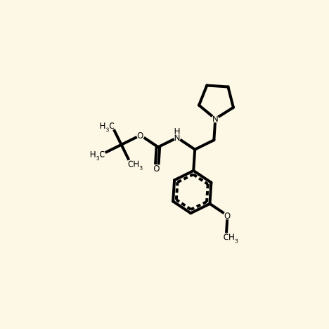 COc1cccc(C(CN2CCCC2)NC(=O)OC(C)(C)C)c1